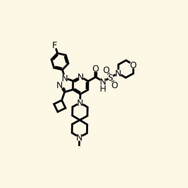 CN1CCC2(CC1)CCN(c1cc(C(=O)NS(=O)(=O)N3CCOCC3)nc3c1c(C1CCC1)nn3-c1ccc(F)cc1)CC2